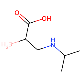 BC(CNC(C)C)C(=O)O